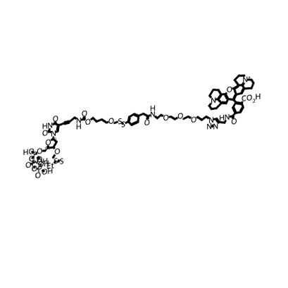 CCS(=S)COC1C[C@H](n2cc(C#CCNC(=O)OCCCCOCSSc3ccc(CC(=O)NCCOCCOCCOCCCn4cc(CNC(=O)c5ccc(C(=O)O)c(C6=c7cc8c9c(c7Oc7c6cc6c%10c7CCCN%10CCC6)CCC[N+]=9CCC8)c5)nn4)cc3)c(=O)[nH]c2=O)O[C@@H]1COP(=O)(O)OP(=O)(O)OP(=O)(O)O